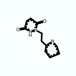 O=c1ccc(=O)n(CCc2ccccn2)[nH]1